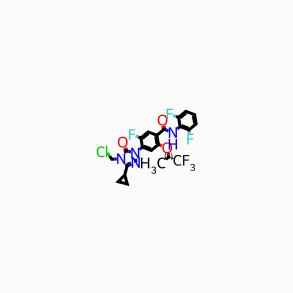 C[C@H](Oc1cc(-n2nc(C3CC3)n(CCl)c2=O)c(F)cc1C(=O)Nc1c(F)cccc1F)C(F)(F)F